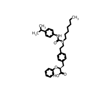 CCCCCCCN(CCc1ccc(C[C@H](Oc2ccccc2)C(=O)O)cc1)C(=O)Nc1ccc(C(C)C)cc1